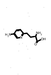 Nc1ccc(CCC(N)C(=O)O)nc1